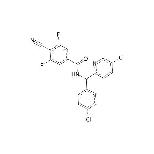 N#Cc1c(F)cc(C(=O)NC(c2ccc(Cl)cc2)c2ccc(Cl)cn2)cc1F